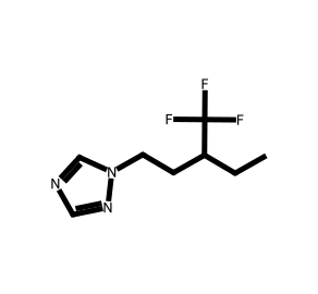 CCC(CCn1cncn1)C(F)(F)F